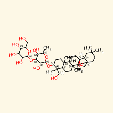 C[C@H]1O[C@@H](O[C@H]2CC[C@@]3(C)[C@@H](CC[C@]4(C)[C@@H]3C=C[C@]35OC[C@@]6(CCC(C)(C)C[C@H]63)CC[C@]54C)[C@]2(C)CO)[C@H](O)[C@@H](O[C@@H]2OC(CO)[C@@H](O)C(O)C2O)[C@H]1O